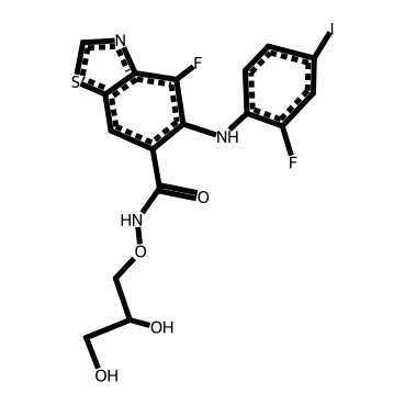 O=C(NOCC(O)CO)c1cc2scnc2c(F)c1Nc1ccc(I)cc1F